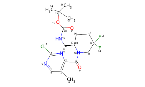 Cc1cnc(Cl)nc1C(=O)N1CC(F)(F)CC[C@@H]1CNC(=O)OC(C)(C)C